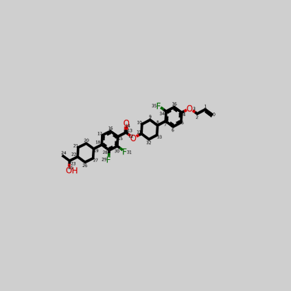 C=CCOc1ccc(C2CCC(OC(=O)c3ccc(C4CCC(C(C)O)CC4)c(F)c3F)CC2)c(F)c1